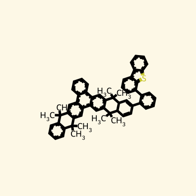 CC1(C)c2ccccc2C(C)(C)c2cc3c(cc21)c1ccccc1c1cc2c(cc31)C(C)(C)C1C=CC(c3ccccc3-c3cccc4c3sc3ccccc34)=CC1C2(C)C